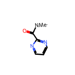 C[N]C(=O)c1ncccn1